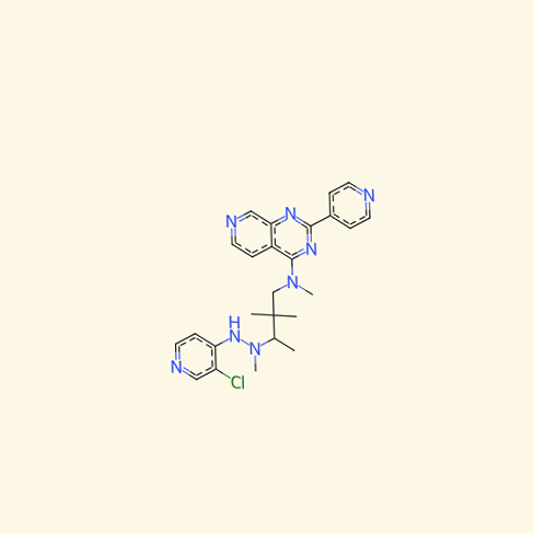 CC(N(C)Nc1ccncc1Cl)C(C)(C)CN(C)c1nc(-c2ccncc2)nc2cnccc12